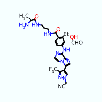 CCc1cc(Nc2nccn3c(-c4cn(CC#N)nc4C(F)(F)F)cnc23)ccc1C(=O)NCCCNC(=O)[C@H](C)N.O=CO